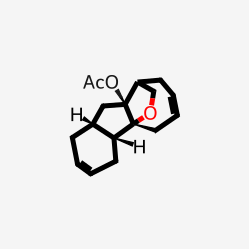 CC(=O)O[C@]12C[C@H]3CC=CC[C@H]3[C@]13CC=CCC2CO3